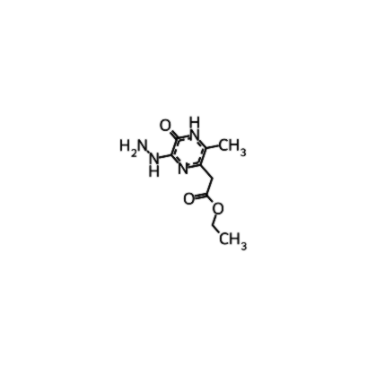 CCOC(=O)Cc1nc(NN)c(=O)[nH]c1C